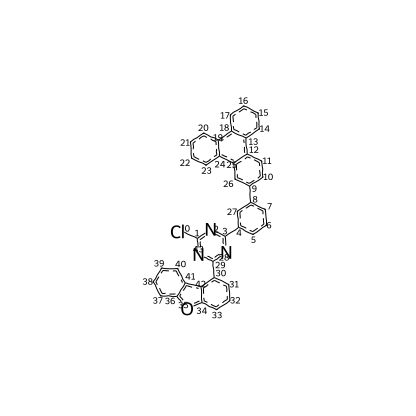 Clc1nc(-c2cccc(-c3ccc4c5ccccc5c5ccccc5c4c3)c2)nc(-c2cccc3oc4ccccc4c23)n1